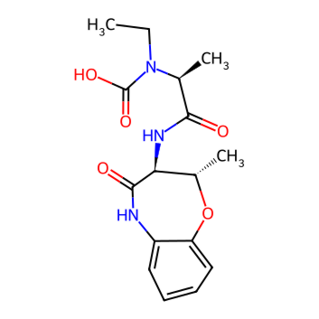 CCN(C(=O)O)[C@@H](C)C(=O)N[C@@H]1C(=O)Nc2ccccc2O[C@H]1C